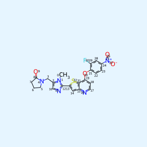 Cn1c(CN2CCCC2=O)cnc1-c1cc2nccc(Oc3ccc([N+](=O)[O-])cc3F)c2s1